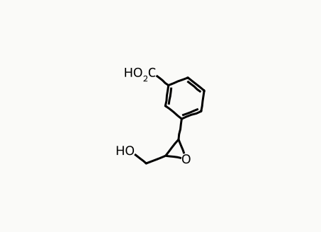 O=C(O)c1cccc(C2OC2CO)c1